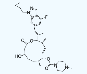 C/C(=C\c1cc(F)c2cnn(CC3CC3)c2c1)[C@H]1OC(=O)C[C@H](O)CC[C@H](C)[C@@H](OC(=O)N2CCN(C)CC2)/C=C/[C@@H]1C